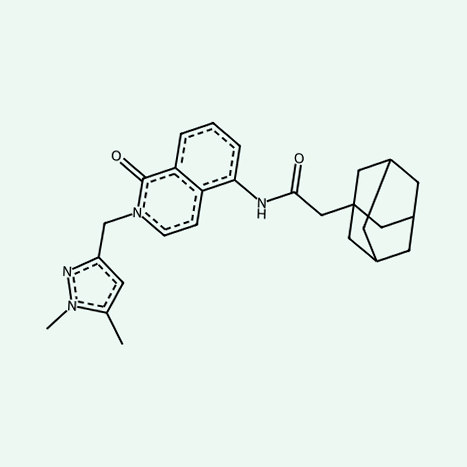 Cc1cc(Cn2ccc3c(NC(=O)CC45CC6CC(CC(C6)C4)C5)cccc3c2=O)nn1C